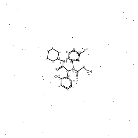 O=C(NC1CCCCC1)C(c1ccccc1Cl)N(C(=O)CO)c1cccc(F)c1